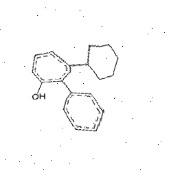 Oc1cccc(C2CCCCC2)c1-c1ccccc1